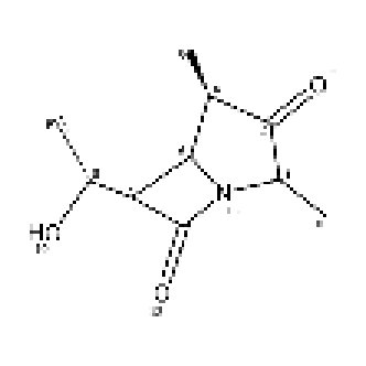 CC1C(=O)[C@H](C)C2C([C@@H](C)O)C(=O)N12